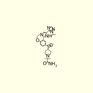 CC(C)n1ncnc1C1=CN2CCOc3ccc([S+]([O-])C4CCN(C(C)(C)C(N)=O)CC4)cc3C2N1